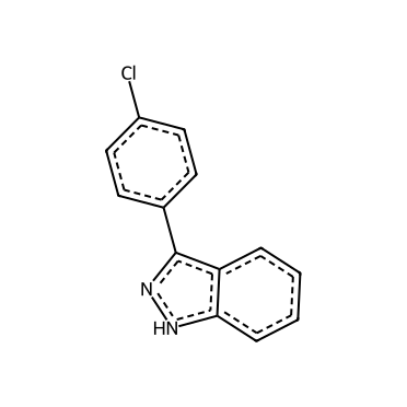 Clc1ccc(-c2n[nH]c3ccccc23)cc1